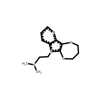 CN(C)CCn1c2c(c3ncccc31)OCCCO2